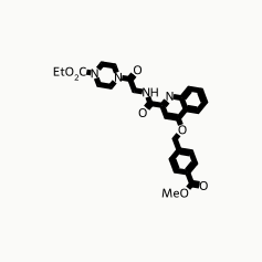 CCOC(=O)N1CCN(C(=O)CNC(=O)c2cc(OCc3ccc(C(=O)OC)cc3)c3ccccc3n2)CC1